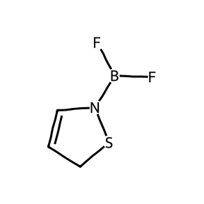 FB(F)N1C=CCS1